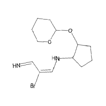 N=C/C(Br)=C\NC1CCCC1OC1CCCCO1